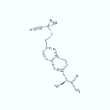 C#CC1(COc2ccc3cc([C@H](C)C(C)=O)ccc3c2)N=N1